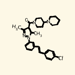 Cc1nn(-c2cccc(/C=C/c3ccc(Cl)cc3)c2)c(C)c1C(=O)N1CCC(N2CCCCC2)CC1